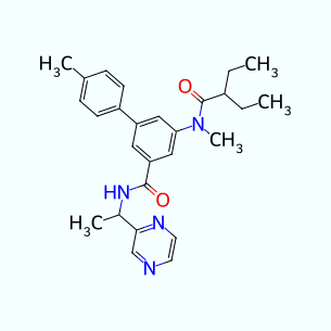 CCC(CC)C(=O)N(C)c1cc(C(=O)NC(C)c2cnccn2)cc(-c2ccc(C)cc2)c1